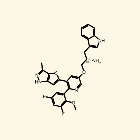 COc1c(F)cc(F)cc1-c1ncc(OC[C@@H](N)Cc2c[nH]c3ccccc23)cc1-c1cc2[nH]nc(C)c2s1